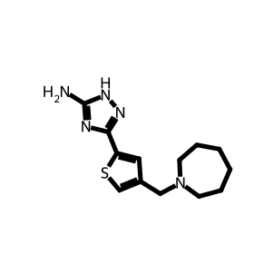 Nc1nc(-c2cc(CN3CCCCCC3)cs2)n[nH]1